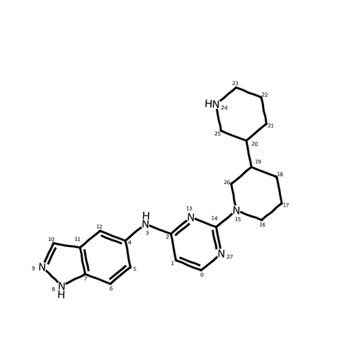 c1cc(Nc2ccc3[nH]ncc3c2)nc(N2CCCC(C3CCCNC3)C2)n1